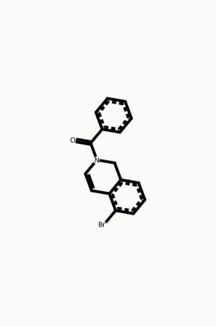 O=C(c1ccccc1)N1C=Cc2c(Br)cccc2C1